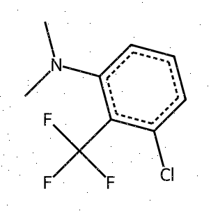 CN(C)c1cccc(Cl)c1C(F)(F)F